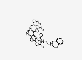 Cc1oc2ncn(CC(C)C)c(=O)c2c1C(=O)NCCN1CCc2ccccc2C1